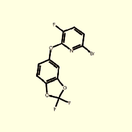 Fc1ccc(Br)nc1Oc1ccc2c(c1)OC(F)(F)O2